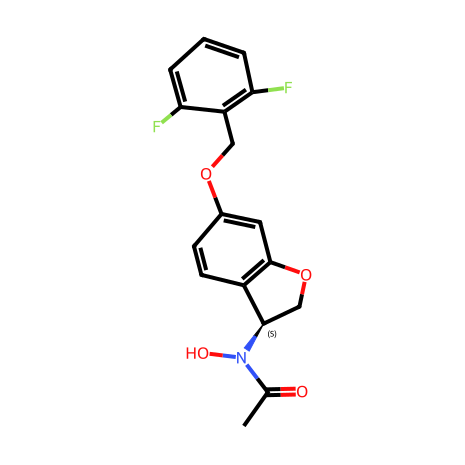 CC(=O)N(O)[C@@H]1COc2cc(OCc3c(F)cccc3F)ccc21